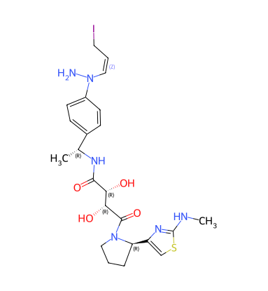 CNc1nc([C@H]2CCCN2C(=O)[C@H](O)[C@@H](O)C(=O)N[C@H](C)c2ccc(N(N)/C=C\CI)cc2)cs1